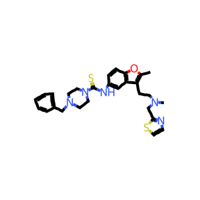 Cc1oc2ccc(NC(=S)N3CCN(Cc4ccccc4)CC3)cc2c1CCN(C)Cc1nccs1